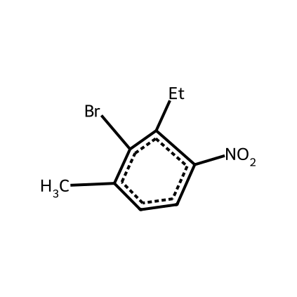 CCc1c([N+](=O)[O-])ccc(C)c1Br